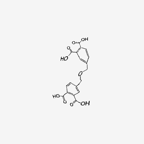 O=C(O)c1ccc(COCc2ccc(C(=O)O)c(C(=O)O)c2)cc1C(=O)O